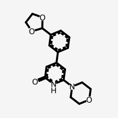 O=c1cc(-c2cccc(C3OCCO3)c2)cc(N2CCOCC2)[nH]1